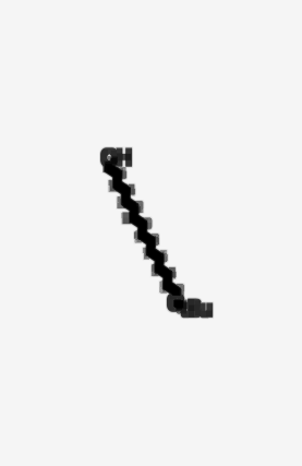 CC(C)(C)OCCCCCCCCCCCCCCCCO